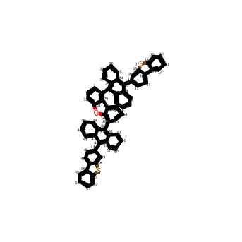 c1cc(-c2c3ccccc3c(-c3ccc4c(c3)sc3ccccc34)c3ccccc23)c2c(c1)oc1c(-c3c4ccccc4c(-c4ccc5c(c4)sc4ccccc45)c4ccccc34)cccc12